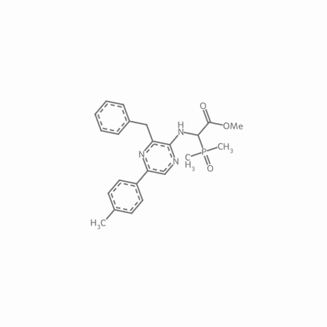 COC(=O)C(Nc1ncc(-c2ccc(C)cc2)nc1Cc1ccccc1)P(C)(C)=O